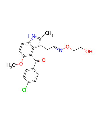 COc1ccc2[nH]c(C)c(CC=NOCCO)c2c1C(=O)c1ccc(Cl)cc1